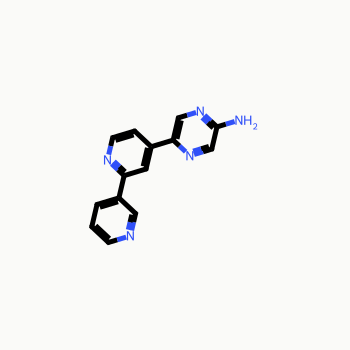 Nc1cnc(-c2ccnc(-c3cccnc3)c2)cn1